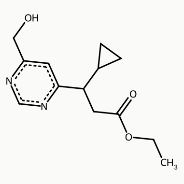 CCOC(=O)CC(c1cc(CO)ncn1)C1CC1